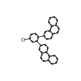 Clc1ccc(-c2ccc3ccc4ccccc4c3c2)c(-c2ccc3c(ccc4ccccc43)c2)c1